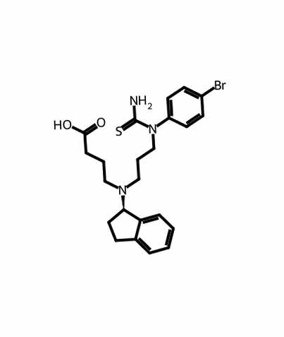 NC(=S)N(CCCN(CCCC(=O)O)[C@@H]1CCc2ccccc21)c1ccc(Br)cc1